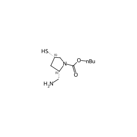 CCCCOC(=O)N1C[C@@H](S)C[C@H]1CN